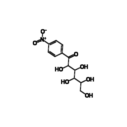 O=C(c1ccc([N+](=O)[O-])cc1)C(O)C(O)C(O)C(O)CO